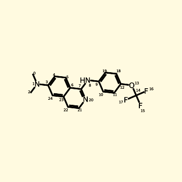 CN(C)c1ccc2c(Nc3ccc(OC(F)(F)F)cc3)nccc2c1